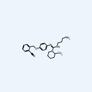 CC1CCCCN1/C(=N\c1ccc(OCc2ccccc2C#N)cc1)NCCCN